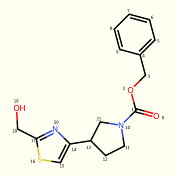 O=C(OCc1ccccc1)N1CCC(c2csc(CO)n2)C1